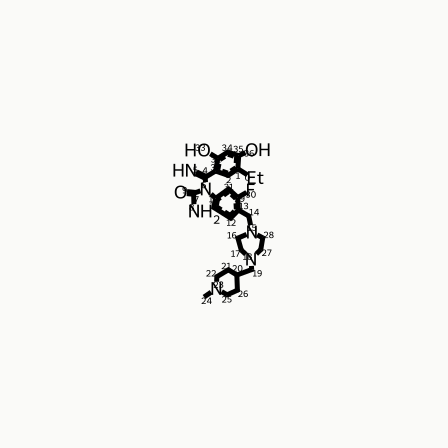 CCc1cc(C(=N)N(C(N)=O)c2ccc(CN3CCN(CC4CCN(C)CC4)CC3)c(F)c2)c(O)cc1O